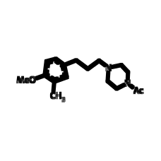 COc1ccc(CCCN2CCN(C(C)=O)CC2)cc1C